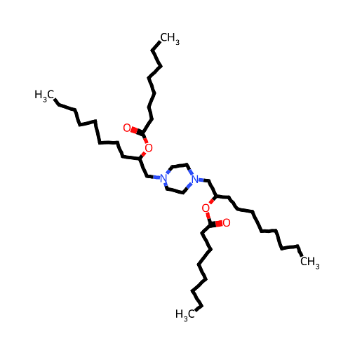 CCCCCCCCC(CN1CCN(CC(CCCCCCCC)OC(=O)CCCCCCC)CC1)OC(=O)CCCCCCC